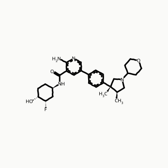 C[C@@H]1CN(C2CCOCC2)C[C@@]1(C)c1ccc(-c2cnc(N)c(C(=O)N[C@@H]3CC[C@@H](O)[C@@H](F)C3)c2)cc1